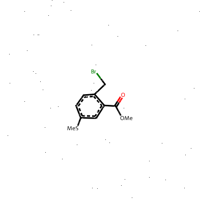 COC(=O)c1cc(SC)ccc1CBr